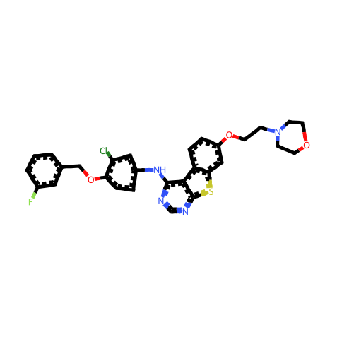 Fc1cccc(COc2ccc(Nc3ncnc4sc5cc(OCCN6CCOCC6)ccc5c34)cc2Cl)c1